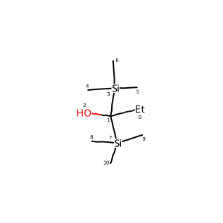 CCC(O)([Si](C)(C)C)[Si](C)(C)C